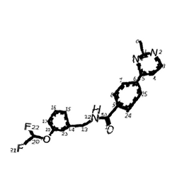 Cc1nccc(-c2ccc(C(=O)NCc3cccc(OC(F)F)c3)cc2)n1